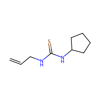 C=CCNC(=S)NC1CCCC1